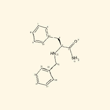 NC(=O)[C@H](Cc1ccccc1)NCc1ccccc1